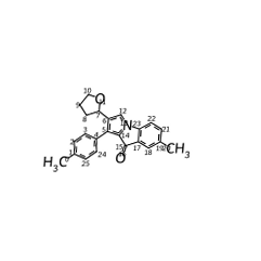 Cc1ccc(-c2c(C3CCCO3)cn3c2C(=O)c2cc(C)ccc2-3)cc1